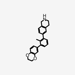 Cc1c(-c2ccc3c(c2)CCNC3)cccc1-c1ccc2c(c1)OCCO2